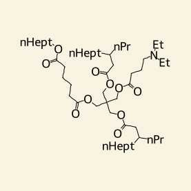 CCCCCCCOC(=O)CCCCC(=O)OCC(COC(=O)CCCN(CC)CC)(COC(=O)CC(CCC)CCCCCCC)COC(=O)CC(CCC)CCCCCCC